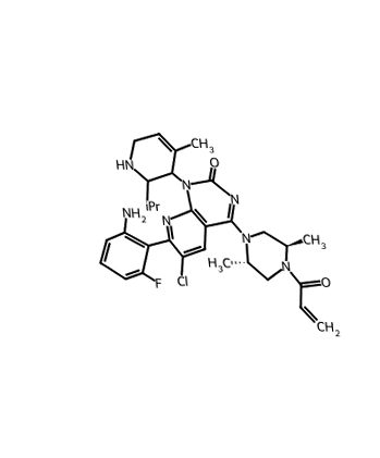 C=CC(=O)N1C[C@H](C)N(c2nc(=O)n(C3C(C)=CCNC3C(C)C)c3nc(-c4c(N)cccc4F)c(Cl)cc23)C[C@H]1C